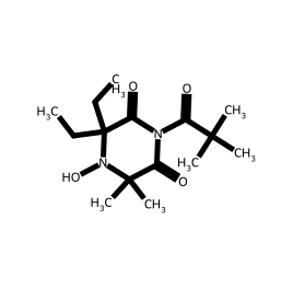 CCC1(CC)C(=O)N(C(=O)C(C)(C)C)C(=O)C(C)(C)N1O